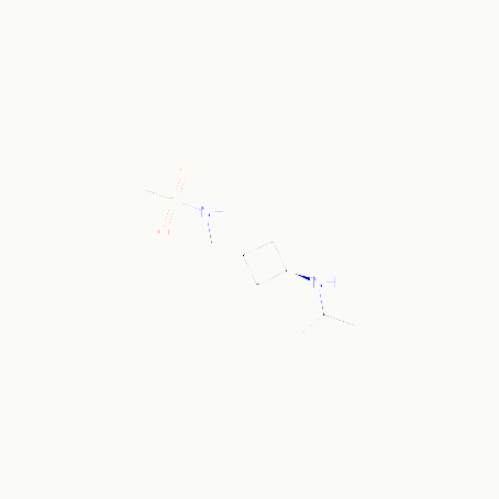 CC(C)N[C@H]1C[C@H](CNS(C)(=O)=O)C1